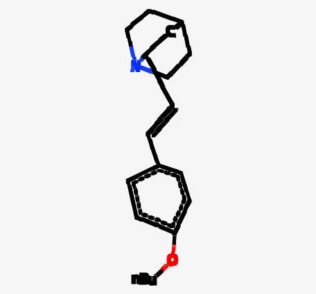 CCCCOc1ccc(C=CC2CC3CCN2CC3)cc1